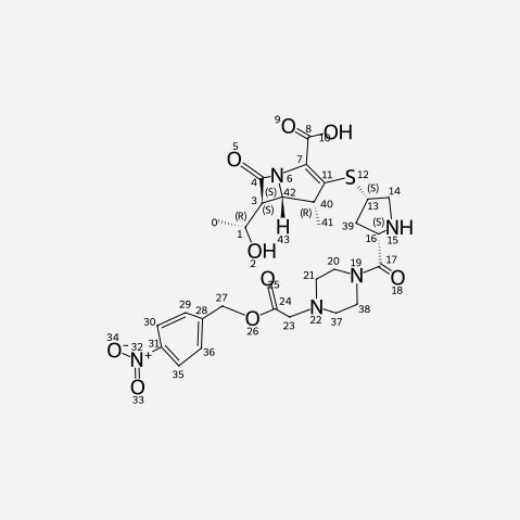 C[C@@H](O)[C@H]1C(=O)N2C(C(=O)O)=C(S[C@@H]3CN[C@H](C(=O)N4CCN(CC(=O)OCc5ccc([N+](=O)[O-])cc5)CC4)C3)[C@H](C)[C@H]12